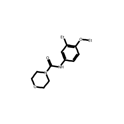 CCOc1ccc(NC(=O)N2CCOCC2)cc1CC